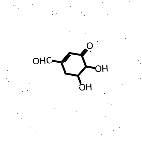 O=CC1=CC(=O)C(O)C(O)C1